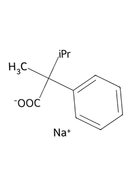 CC(C)C(C)(C(=O)[O-])c1ccccc1.[Na+]